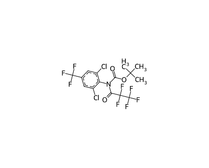 CC(C)(C)OC(=O)N(C(=O)C(F)(F)C(F)(F)F)c1c(Cl)cc(C(F)(F)F)cc1Cl